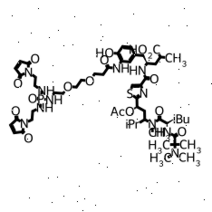 CC[C@H](C)[C@H](NC(=O)C(C)(C)N(C)C)C(=O)N(C)C(C[C@@H](OC(C)=O)c1nc(C(=O)N[C@@H](Cc2ccc(O)c(NC(=O)CCOCCOCCNP(=O)(NCCN3C(=O)C=CC3=O)NCCN3C(=O)C=CC3=O)c2)CC(C)C(=O)O)cs1)C(C)C